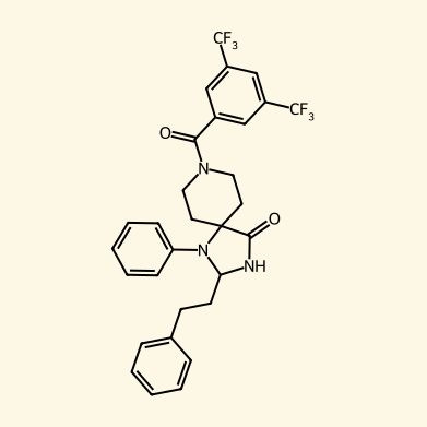 O=C(c1cc(C(F)(F)F)cc(C(F)(F)F)c1)N1CCC2(CC1)C(=O)NC(CCc1ccccc1)N2c1ccccc1